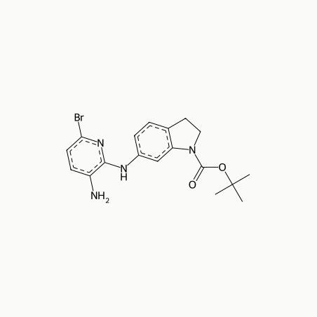 CC(C)(C)OC(=O)N1CCc2ccc(Nc3nc(Br)ccc3N)cc21